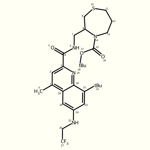 Cc1cc(C(=O)NCC2CSCCCN2C(=O)OC(C)(C)C)nc2c(C(C)(C)C)cc(NCC(F)(F)F)cc12